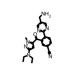 CCN(CC)c1cc(C(=O)c2cc(C#N)ccc2-c2ncc(CN)cn2)n(C)n1